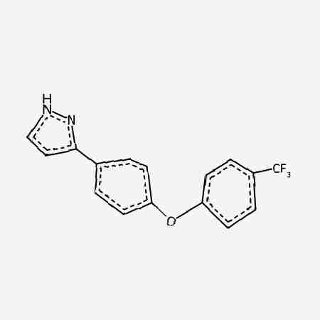 FC(F)(F)c1ccc(Oc2ccc(-c3cc[nH]n3)cc2)cc1